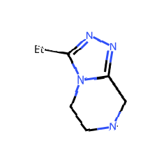 CCc1nnc2n1CC[N]C2